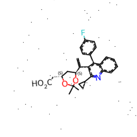 C=C(c1c(C2CC2)nc2ccccc2c1-c1ccc(F)cc1)[C@@H]1C[C@@H](CC(=O)O)OC(C)(C)O1